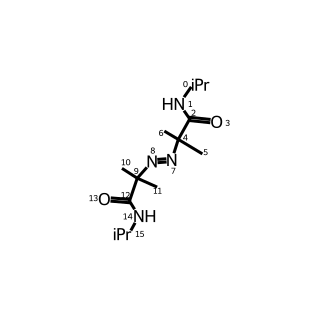 CC(C)NC(=O)C(C)(C)/N=N/C(C)(C)C(=O)NC(C)C